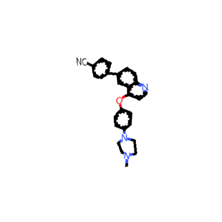 CN1CCN(c2ccc(Oc3ccnc4ccc(-c5ccc(C#N)cc5)cc34)cc2)CC1